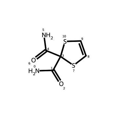 NC(=O)C1(C(N)=O)SC=CS1